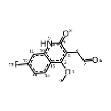 COc1c(CC=O)c(=O)[nH]c2cc(F)ccc12